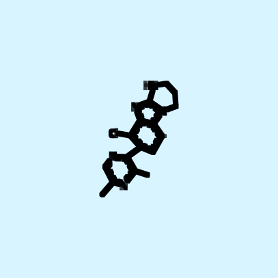 Cc1cnc(-c2c[c]c3c(nc4n3CCCN4)c2Cl)c(C)n1